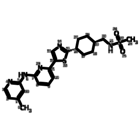 Cc1ccnc(Nc2cccc(-c3cnc([C@H]4CC[C@H](CNS(C)(=O)=O)CC4)s3)n2)c1